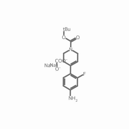 CC(C)(C)OC(=O)N1CC=C(c2ccc(N)cc2F)CC1.O=C([O-])[O-].[Na+].[Na+]